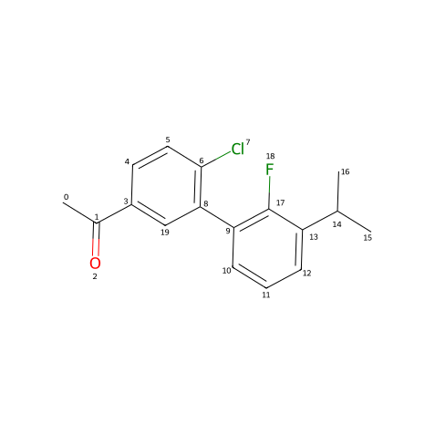 CC(=O)c1ccc(Cl)c(-c2cccc(C(C)C)c2F)c1